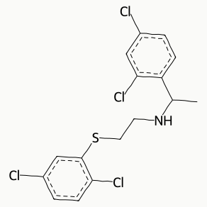 CC(NCCSc1cc(Cl)ccc1Cl)c1ccc(Cl)cc1Cl